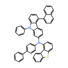 c1ccc(-c2ccc(N(c3ccc4c5c(-c6cccc7ccccc67)cccc5n(-c5ccccc5)c4c3)c3cccc4sc5ccccc5c34)cc2)cc1